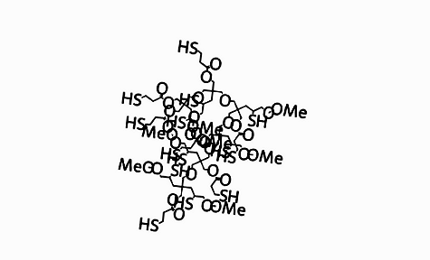 COOCC(S)CC(COCC(COCC(COCC(COC(=O)CCS)(CC(S)COOC)CC(S)COOC)(COC(=O)CCS)CC(S)COOC)(COC(=O)CCS)CC(S)COOC)(COCC(COCC(COC(=O)CCS)(COC(=O)CCS)CC(S)COOC)(COC(=O)CCS)CC(S)COOC)COC(=O)CCS